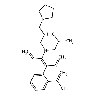 C=C/C(=C(/N=C)c1ccccc1C(=C)C)N(CCCN1CCCC1)CC(C)C